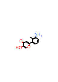 Cc1c(N)cccc1-c1cc(=O)c(O)co1